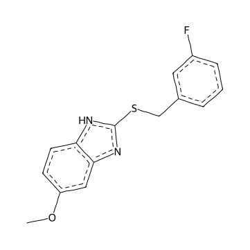 COc1ccc2[nH]c(SCc3cccc(F)c3)nc2c1